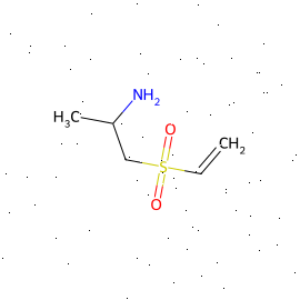 C=CS(=O)(=O)CC(C)N